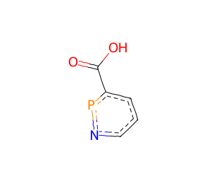 O=C(O)c1cccnp1